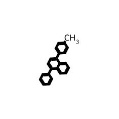 Cc1ccc(-c2ccc(-c3ccccc3)c3ccccc23)cc1